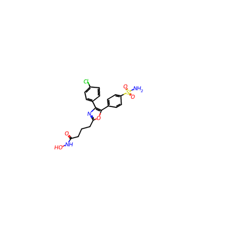 NS(=O)(=O)c1ccc(-c2oc(CCCC(=O)NO)nc2-c2ccc(Cl)cc2)cc1